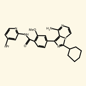 CCCc1ccnc(NC(=O)c2ccc(-c3nc(C4CCCCC4)n4ccnc(N)c34)cc2OC)c1